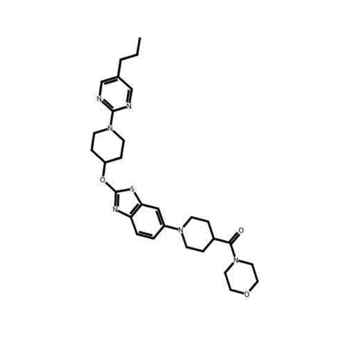 CCCc1cnc(N2CCC(Oc3nc4ccc(N5CCC(C(=O)N6CCOCC6)CC5)cc4s3)CC2)nc1